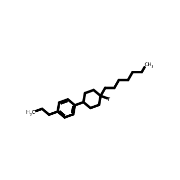 CCCCCCCC1(F)CCC(c2ccc(CCC)cc2)CC1